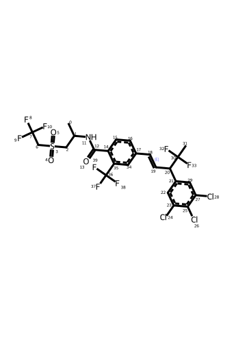 CC(CS(=O)(=O)CC(F)(F)F)NC(=O)c1ccc(/C=C/C(c2cc(Cl)c(Cl)c(Cl)c2)C(C)(F)F)cc1C(F)(F)F